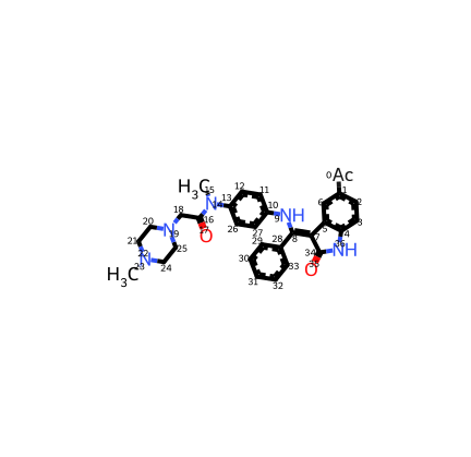 CC(=O)c1ccc2c(c1)C(=C(Nc1ccc(N(C)C(=O)CN3CCN(C)CC3)cc1)c1ccccc1)C(=O)N2